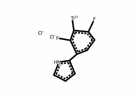 Fc1ccc(-c2ccc[nH]2)c(F)[c]1[Ti+2].[Cl-].[Cl-]